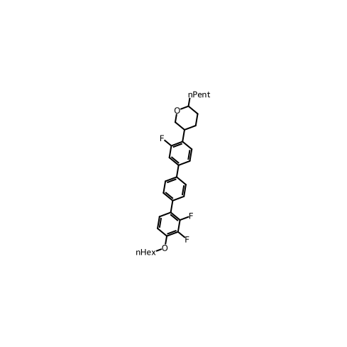 CCCCCCOc1ccc(-c2ccc(-c3ccc(C4CCC(CCCCC)OC4)c(F)c3)cc2)c(F)c1F